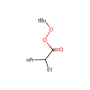 CCCC(CC)C(=O)OOC(C)(C)C